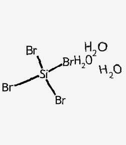 Br[Si](Br)(Br)Br.O.O.O